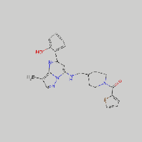 Bc1cnn2c(NCC3CCN(C(=O)c4cccs4)CC3)cc(-c3ccccc3O)nc12